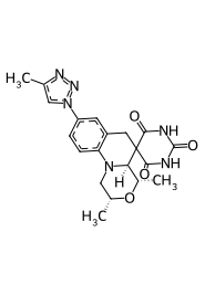 Cc1cn(-c2ccc3c(c2)CC2(C(=O)NC(=O)NC2=O)[C@H]2[C@H](C)O[C@H](C)CN32)nn1